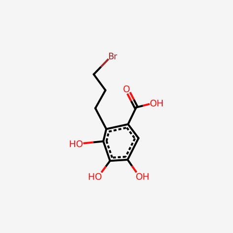 O=C(O)c1cc(O)c(O)c(O)c1CCCBr